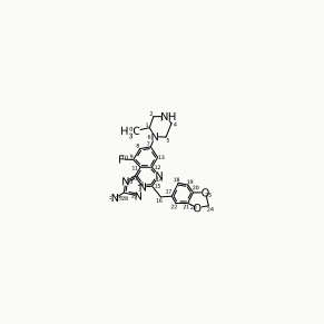 CC1CNCCN1c1cc(F)c2c(c1)nc(Cc1ccc3c(c1)OCO3)n1nc([N])nc21